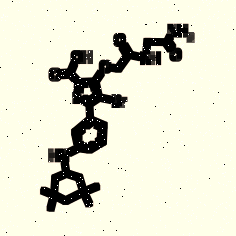 CC1(C)CC(Nc2cccc(-c3sc(C(=O)O)c(OCC(=O)NCC(N)=O)c3Br)c2)CC(C)(C)C1